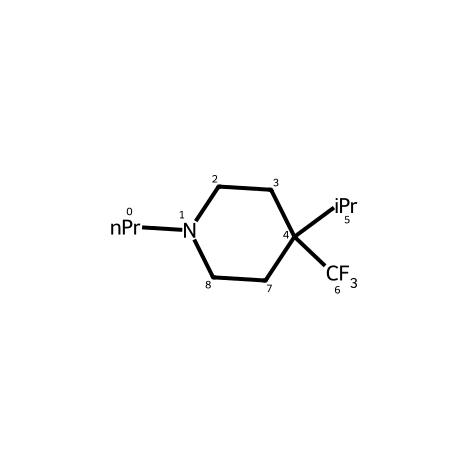 CCCN1CCC(C(C)C)(C(F)(F)F)CC1